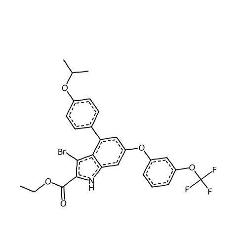 CCOC(=O)c1[nH]c2cc(Oc3cccc(OC(F)(F)F)c3)cc(-c3ccc(OC(C)C)cc3)c2c1Br